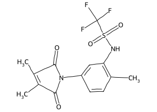 CC1=C(C)C(=O)N(c2ccc(C)c(NS(=O)(=O)C(F)(F)F)c2)C1=O